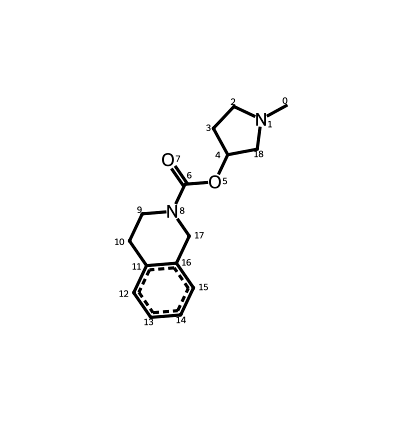 CN1CCC(OC(=O)N2CCc3ccccc3C2)C1